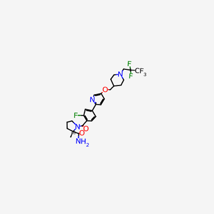 C[C@@]1(C(N)=O)CCCN1C(=O)c1ccc(-c2ccc(OCC3CCN(CC(F)(F)C(F)(F)F)CC3)cn2)cc1F